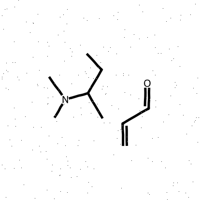 C=CC=O.CCC(C)N(C)C